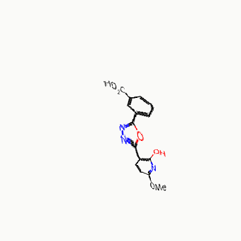 COc1ccc(-c2nnc(-c3cccc(C(=O)O)c3)o2)c(O)n1